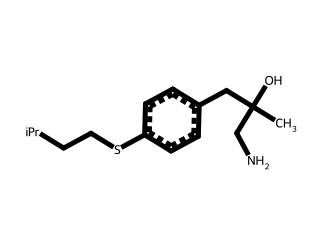 CC(C)CCSc1ccc(CC(C)(O)CN)cc1